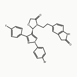 O=C1Cc2cc(CCN3C(=O)CO[C@@H]3c3cn(-c4ccc(Br)cc4)nc3-c3ccc(F)cc3)ccc2N1